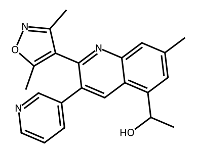 Cc1cc(C(C)O)c2cc(-c3cccnc3)c(-c3c(C)noc3C)nc2c1